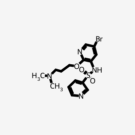 CN(C)CCCOc1ncc(Br)cc1NS(=O)(=O)c1cccnc1